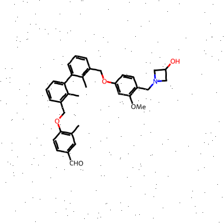 COc1cc(OCc2cccc(-c3cccc(COc4ccc(C=O)cc4C)c3C)c2C)ccc1CN1CC(O)C1